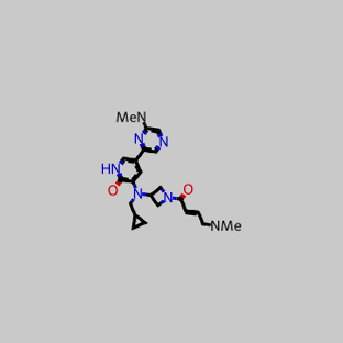 CNCC=CC(=O)N1CC(N(CC2CC2)c2cc(-c3cncc(NC)n3)c[nH]c2=O)C1